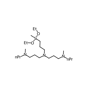 CCCN(C)CCCN(CCCN(C)CCC)CCC[Si](C)(OCC)OCC